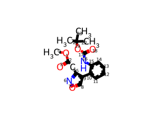 COC(=O)Cc1nocc1-c1ccccc1NC(=O)OC(C)(C)C